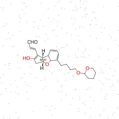 O=CC=CC1=C(O)C[C@H]2OC3C(CCCCOC4CCCCO4)=CC=CC3[C@@H]12